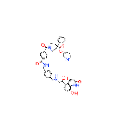 O=C(NCc1ccc(CNCC(O)c2ccc(O)c3[nH]c(=O)ccc23)cc1)c1ccc(C(=O)N2CCC(C(=O)OC3CN4CCC3CC4)(c3ccccc3)CC2)cc1